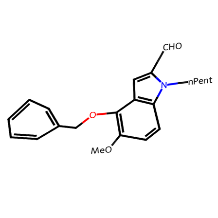 CCCCCn1c(C=O)cc2c(OCc3ccccc3)c(OC)ccc21